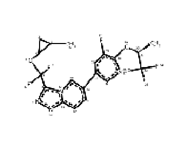 CC1CC1OC(F)(F)c1nnc2ccc(-c3cnc(O[C@@H](C)C(F)(F)F)c(F)c3)cn12